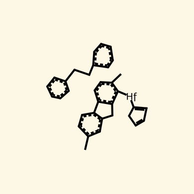 Cc1ccc2c(c1)Cc1c-2ccc(C)[c]1[Hf][C]1=CC=CC1.c1ccc(CCc2ccccc2)cc1